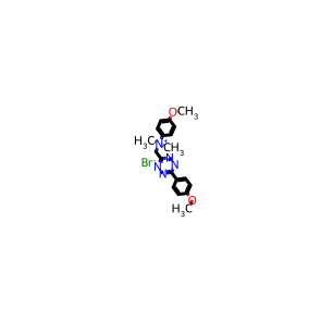 COc1ccc(-c2nnc(C[N+](C)(C)c3ccc(OC)cc3)nn2)cc1.[Br-]